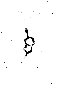 Cc1cn2ncc(C#N)cc2n1